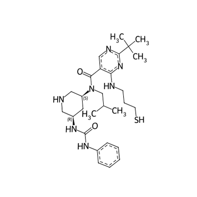 CC(C)CN(C(=O)c1cnc(C(C)(C)C)nc1NCCCS)[C@@H]1CNC[C@H](NC(=O)Nc2ccccc2)C1